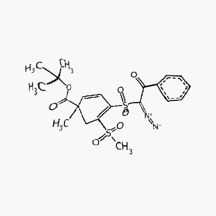 CC(C)(C)OC(=O)C1(C)C=CC(S(=O)(=O)C(=[N+]=[N-])C(=O)c2ccccc2)=C(S(C)(=O)=O)C1